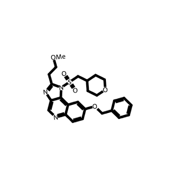 COCCc1nc2cnc3ccc(OCc4ccccc4)cc3c2n1S(=O)(=O)CC1CCOCC1